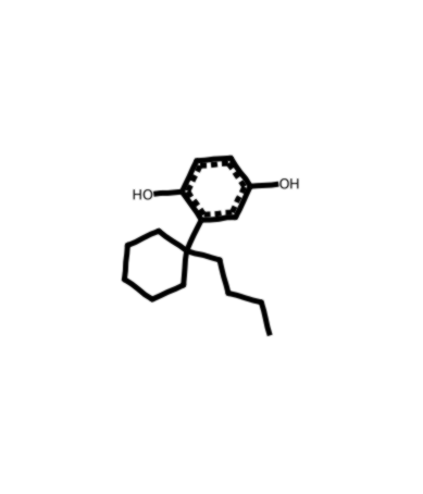 CCCCC1(c2cc(O)ccc2O)CCCCC1